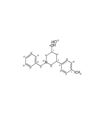 Cc1ccc(C2CC(O)CN(Cc3ccccc3)C2)cc1.Cl